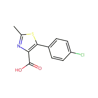 Cc1nc(C(=O)O)c(-c2ccc(Cl)cc2)s1